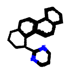 c1cnc(C2CCCc3ccc4c(ccc5ccccc54)c32)nc1